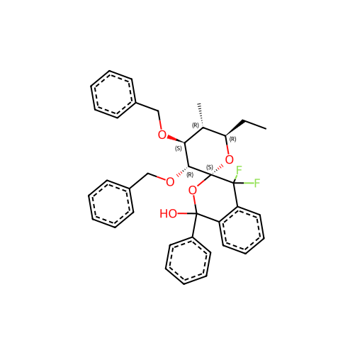 CC[C@H]1O[C@]2(OC(O)(c3ccccc3)c3ccccc3C2(F)F)[C@H](OCc2ccccc2)[C@@H](OCc2ccccc2)[C@@H]1C